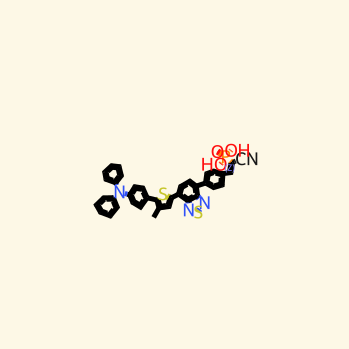 Cc1cc(-c2ccc(-c3ccc(/C=C(/C#N)P(=O)(O)O)cc3)c3nsnc23)sc1-c1ccc(N(c2ccccc2)c2ccccc2)cc1